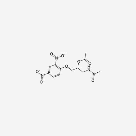 CC(=O)NCC(COc1ccc([N+](=O)[O-])cc1[N+](=O)[O-])OC(C)=O